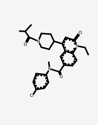 CCn1c(=O)cc(C2CCN(C(=O)C(C)C)CC2)c2cc(C(=O)N(C)c3ccc(Cl)cc3)ccc21